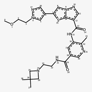 COCCn1cc(-c2cn3ncc(C(=O)Nc4cc(C(=O)NCCN5CC(C)(C)C5)cnc4C)c3s2)cn1